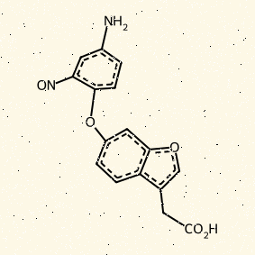 Nc1ccc(Oc2ccc3c(CC(=O)O)coc3c2)c(N=O)c1